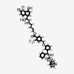 O=C(N[C@@H](c1ccccc1)c1cccc(OCc2ccc(C(=O)OCCCCNC[C@H](O)c3ccc(O)c4[nH]c(=O)ccc34)c(C(F)(F)F)c2)c1)O[C@H]1CN2CCC1CC2